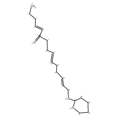 CCCC=CC(=O)CCC=CCCC=CCOC1CCCCO1